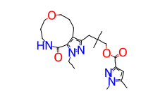 CCn1nc(CC(C)(C)COC(=O)c2cc(C)n(C)n2)c2c1C(=O)NCCCOCCC2